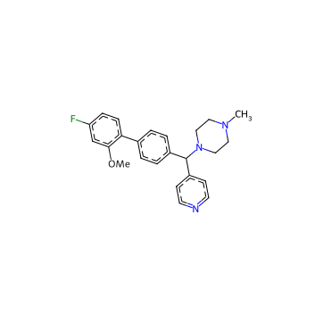 COc1cc(F)ccc1-c1ccc(C(c2ccncc2)N2CCN(C)CC2)cc1